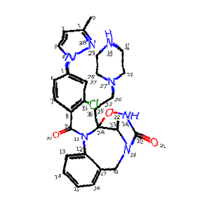 Cc1ccn(-c2ccc(C(=O)N3c4ccccc4CN4C(=O)NOC3(CCN3CCNCC3)C4C)c(Cl)c2)n1